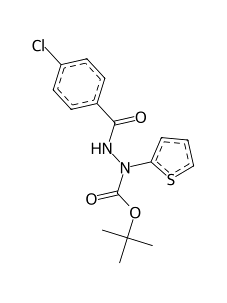 CC(C)(C)OC(=O)N(NC(=O)c1ccc(Cl)cc1)c1cccs1